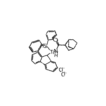 O=C([NH][Ti+2]([CH]1c2ccccc2-c2ccccc21)[SiH](c1ccccc1)c1ccccc1)C1CC2CCC1C2.[Cl-].[Cl-]